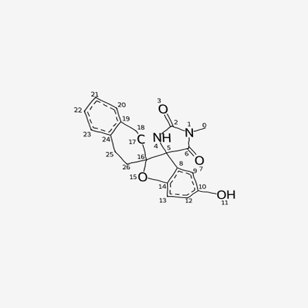 CN1C(=O)NC2(C1=O)c1cc(O)ccc1OC21CCc2ccccc2CC1